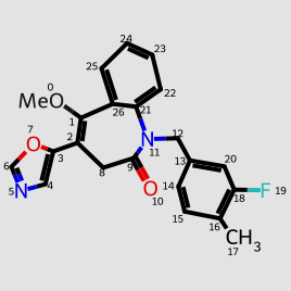 COC1=C(c2cnco2)CC(=O)N(Cc2ccc(C)c(F)c2)c2ccccc21